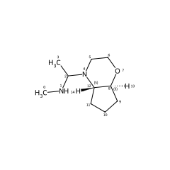 CNC(C)N1CCO[C@H]2CCC[C@@H]21